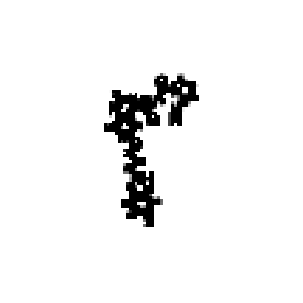 N#C[C@@H]1CCCN1C(=O)CNC(=O)c1ccnc2ccc(OCCCNCc3ccc(I)cc3)cc12